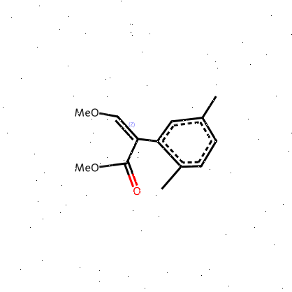 CO/C=C(\C(=O)OC)c1cc(C)ccc1C